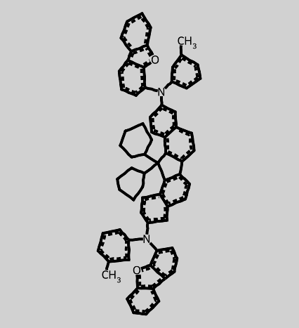 Cc1cccc(N(c2ccc3c4c(ccc3c2)-c2ccc3cc(N(c5cccc(C)c5)c5cccc6c5oc5ccccc56)ccc3c2C4(C2CCCCC2)C2CCCCC2)c2cccc3c2oc2ccccc23)c1